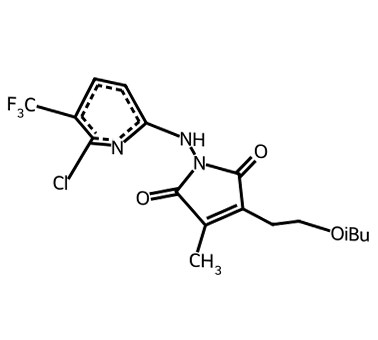 CC1=C(CCOCC(C)C)C(=O)N(Nc2ccc(C(F)(F)F)c(Cl)n2)C1=O